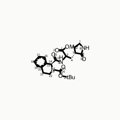 COC(=O)C(C[C@@H]1CCNC1=O)NC(=O)[C@@H]1c2ccccc2CCN1C(=O)OC(C)(C)C